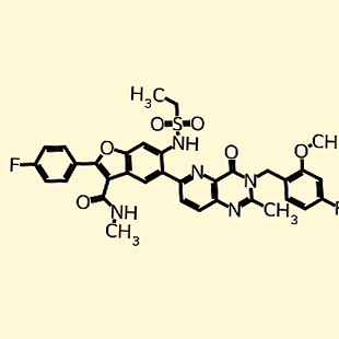 CCS(=O)(=O)Nc1cc2oc(-c3ccc(F)cc3)c(C(=O)NC)c2cc1-c1ccc2nc(C)n(Cc3ccc(F)cc3OC)c(=O)c2n1